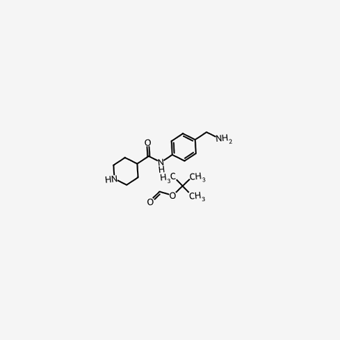 CC(C)(C)OC=O.NCc1ccc(NC(=O)C2CCNCC2)cc1